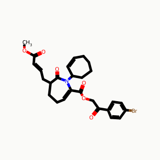 COC(=O)C=CCC1CCC=C(C(=O)OCC(=O)c2ccc(Br)cc2)N(C2C=CCCCC2)C1=O